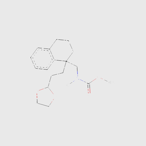 CN(CC1(CCC2OCCO2)CCCc2ccccc21)C(=O)OC(C)(C)C